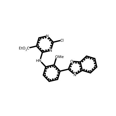 CCOC(=O)c1cnc(Cl)nc1Nc1cccc(-c2nc3ccccc3o2)c1OC